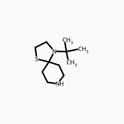 CC(C)(C)N1CCSC12CCNCC2